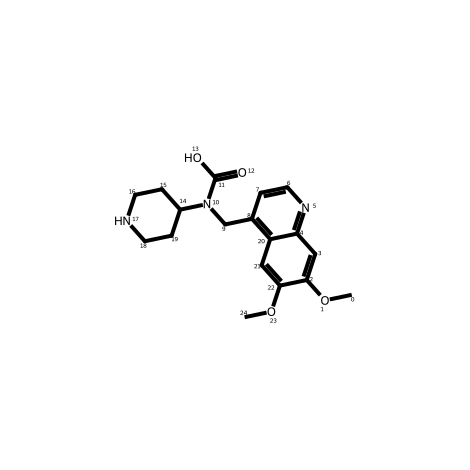 COc1cc2nccc(CN(C(=O)O)C3CCNCC3)c2cc1OC